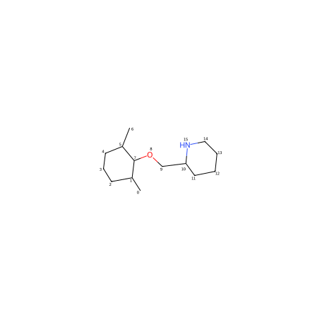 CC1CCCC(C)C1OCC1CCCCN1